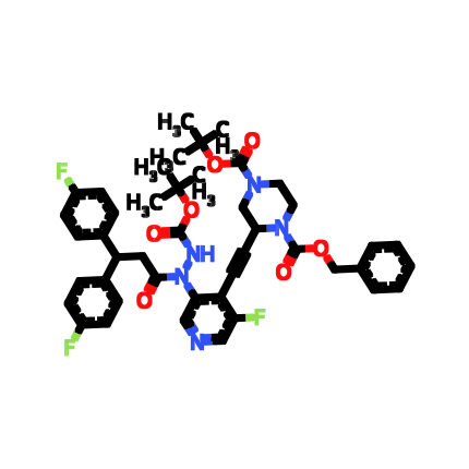 CC(C)(C)OC(=O)NN(C(=O)CC(c1ccc(F)cc1)c1ccc(F)cc1)c1cncc(F)c1C#CC1CN(C(=O)OC(C)(C)C)CCN1C(=O)OCc1ccccc1